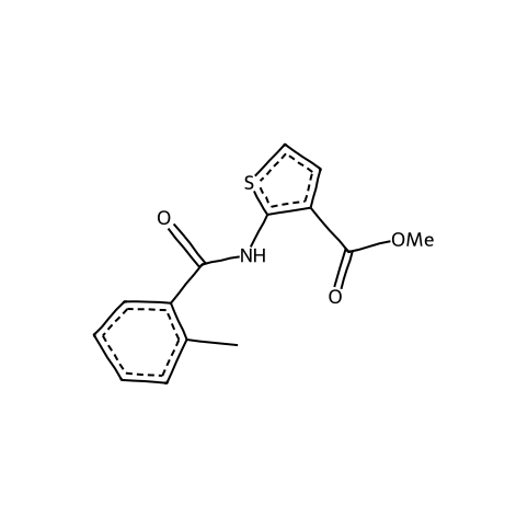 COC(=O)c1ccsc1NC(=O)c1ccccc1C